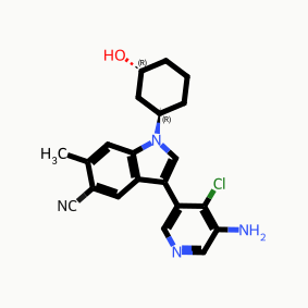 Cc1cc2c(cc1C#N)c(-c1cncc(N)c1Cl)cn2[C@@H]1CCC[C@@H](O)C1